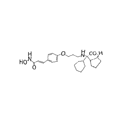 O=C(/C=C/c1ccc(OCCCN[C@](C(=O)O)(C2CCCCC2)C2CCCC2)cc1)NO